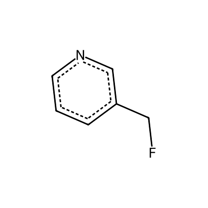 FCc1cccnc1